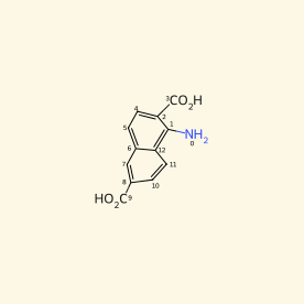 Nc1c(C(=O)O)ccc2cc(C(=O)O)ccc12